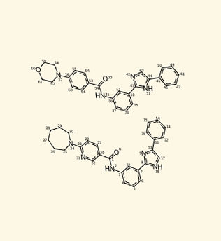 O=C(Nc1cccc(-c2nc(-c3ccccc3)c[nH]2)c1)c1ccc(N2CCCCCC2)nc1.O=C(Nc1cccc(-c2ncc(-c3ccccc3)[nH]2)c1)c1ccc(N2CCOCC2)cc1